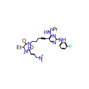 CCCNc1nc(Nc2cccc(F)c2)ncc1C#CCCCNC(=O)C(CC)N(C)C(=O)C=CCN(C)C